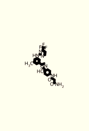 Cc1cc(Nc2nccc(C(F)(F)F)n2)cc(-c2cnc([C@]3(O)CC[C@@H](NC(=O)CC(N)=O)CC3)s2)c1